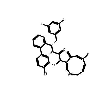 C=C1/C=C(F)\C=C/CN/C=C\1C(C(=O)N[C@@H](Cc1cc(F)cc(F)c1)c1ncccc1-c1ccc(Cl)cc1)C(F)(F)F